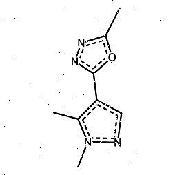 Cc1nnc(-c2cnn(C)c2C)o1